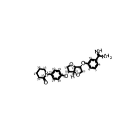 N=C(N)c1cccc(O[C@H]2CO[C@H]3C2OC[C@H]3Oc2ccc(N3CCCCC3=O)cc2)c1